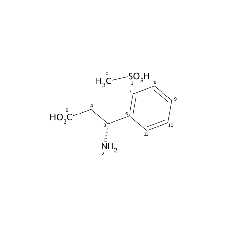 CS(=O)(=O)O.N[C@H](CC(=O)O)c1ccccc1